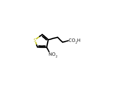 O=C(O)CCc1cscc1[N+](=O)[O-]